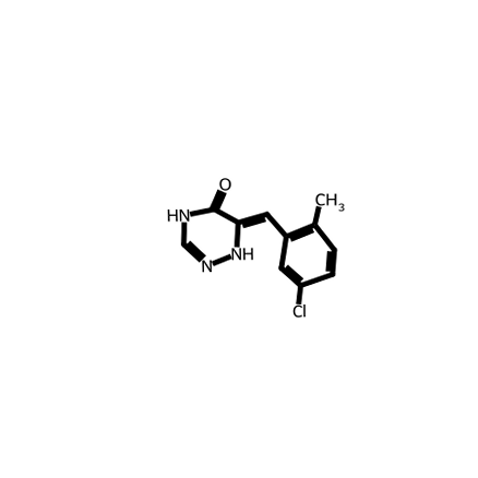 Cc1ccc(Cl)cc1/C=C1\NN=CNC1=O